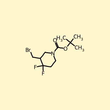 CC(C)(C)OC(=O)N1CCC(F)(F)C(CBr)C1